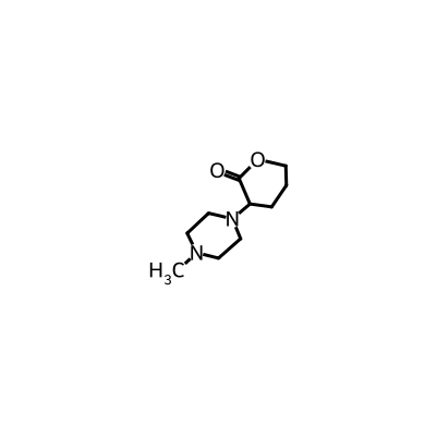 CN1CCN(C2CCCOC2=O)CC1